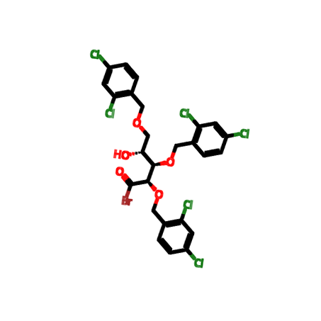 O=C(Br)[C@H](OCc1ccc(Cl)cc1Cl)[C@H](OCc1ccc(Cl)cc1Cl)[C@H](O)COCc1ccc(Cl)cc1Cl